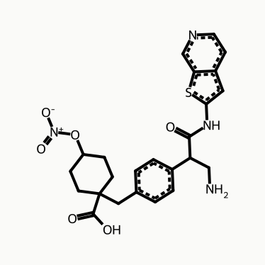 NCC(C(=O)Nc1cc2ccncc2s1)c1ccc(CC2(C(=O)O)CCC(O[N+](=O)[O-])CC2)cc1